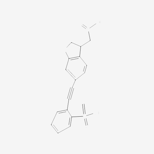 CS(=O)(=O)c1ccccc1C#Cc1ccc2c(c1)OCC2CS(=O)O